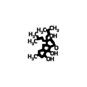 CC(C)=CCC1(CC=C(C)C)C(O)=CC(=O)c2c1cc1cc(C)cc(O)c1c2O